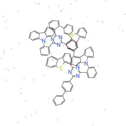 c1ccc(-c2ccc(-c3nc(-c4ccccc4-n4c5ccccc5c5c(-c6ccc(-c7cccc(-c8ccccc8-c8nc(-c9ccccc9-n9c%10ccccc%10c%10ccccc%109)nc(-c9cccc%10c9sc9ccccc9%10)n8)c7)cc6)cccc54)nc(-c4cccc5c4sc4ccccc45)n3)cc2)cc1